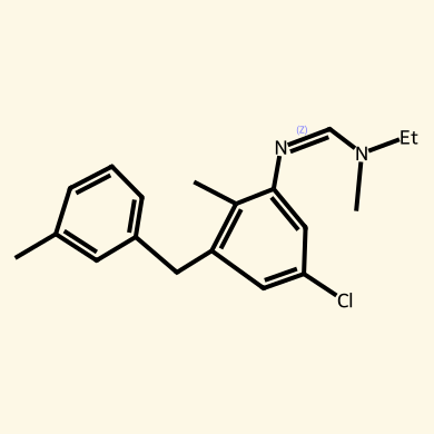 CCN(C)/C=N\c1cc(Cl)cc(Cc2cccc(C)c2)c1C